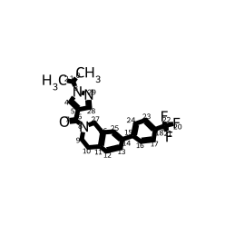 CC(C)n1cc(C(=O)N2CCc3ccc(-c4ccc(C(F)(F)F)cc4)cc3C2)cn1